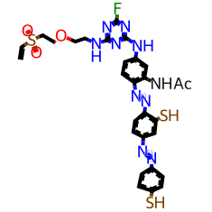 C=CS(=O)(=O)CCOCCNc1nc(F)nc(Nc2ccc(/N=N/c3ccc(/N=N/c4ccc(S)cc4)cc3S)c(NC(C)=O)c2)n1